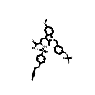 CC#CCOc1ccc(S(=O)(=O)NC(Cc2c(C)n(Cc3cccc(OC(F)(F)F)c3)c3ccc(OC)cc23)C(=O)O)cc1